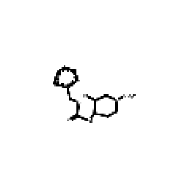 O=C(NC1CCN(C(=O)O)CC1O)OCc1ccccc1